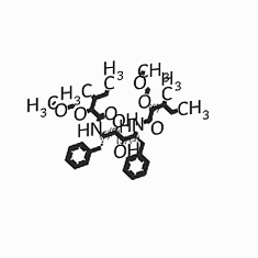 CCC(C)C(OCOC)C(=O)N[C@@H](Cc1ccccc1)[C@H](O)[C@@H](O)[C@H](Cc1ccccc1)NC(=O)[C@@H](OCOC)C(C)CC